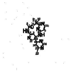 CC(=O)Nc1cc(Nc2ccnc(C(C)(C)F)n2)c(-c2cc(C)ncn2)cn1